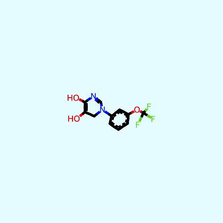 OC1=C(O)N=CN(c2cccc(OC(F)(F)F)c2)C1